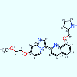 COCCOc1ccn2c(-c3ccc4cccc(OC[C@H]5CCCN5)c4n3)cnc2c1